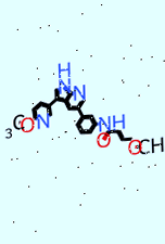 COC/C=C/C(=O)Nc1cccc(-c2cnc3[nH]cc(-c4ccc(OC)nc4)c3c2)c1